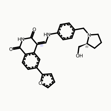 O=C1NC(=O)c2ccc(-c3ccco3)cc2/C1=C/Nc1ccc(CN2CCC[C@H]2CO)cc1